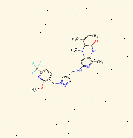 C/C=C(/C)C1C(=O)Nc2c(cc(NCc3cnn(Cc4ccc(C(F)(F)F)nc4OC)c3)nc2C)N1C